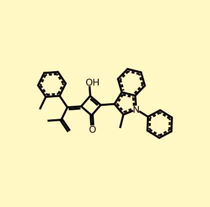 C=C(C)/C(=C1\C(=O)C(c2c(C)n(-c3ccccc3)c3ccccc23)=C1O)c1ccccc1C